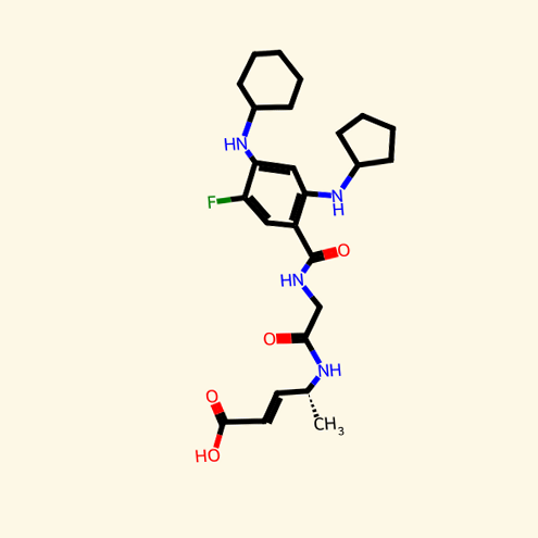 C[C@H](/C=C/C(=O)O)NC(=O)CNC(=O)c1cc(F)c(NC2CCCCC2)cc1NC1CCCC1